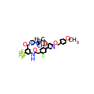 CCOc1cc(OCc2ccc(OC)cc2)ncc1-c1ccc(CC(=O)Nc2cc(C(=O)N3CCC(N(C)C)C3)cc(S(F)(F)(F)(F)F)c2)c(F)c1